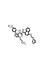 CCCCc1cnn(-c2ccc(C)cc2)c1NC(=O)Nc1ccc(OCCn2ccnc2)c2ccccc12